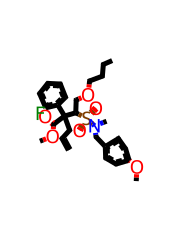 C=CCC(C(=O)OC)(c1ccccc1F)C(COCCCC)S(=O)(=O)N(C)Cc1ccc(OC)cc1